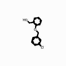 OCc1ccccc1OCc1cccc(Cl)c1